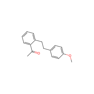 COc1ccc(CCc2ccccc2C(C)=O)cc1